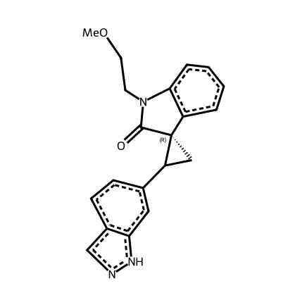 COCCN1C(=O)[C@@]2(CC2c2ccc3cn[nH]c3c2)c2ccccc21